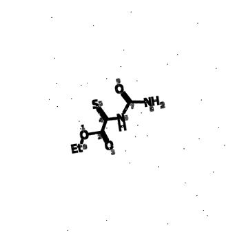 CCOC(=O)C(=S)NC(N)=O